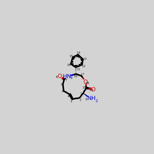 N[C@H]1C/C=C/CCC(=O)N[C@H](c2ccccc2)COC1=O